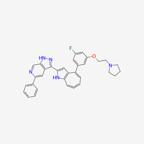 Fc1cc(OCCN2CCCC2)cc(C2=CC=C=Cc3[nH]c(-c4n[nH]c5cnc(-c6ccccc6)cc45)cc32)c1